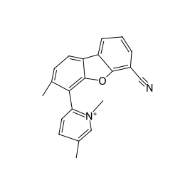 Cc1ccc(-c2c(C)ccc3c2oc2c(C#N)cccc23)[n+](C)c1